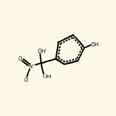 O=[N+]([O-])C(O)(O)c1ccc(O)cc1